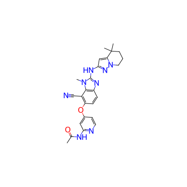 CC(=O)Nc1cc(Oc2ccc3nc(Nc4cc5n(n4)CCCC5(C)C)n(C)c3c2C#N)ccn1